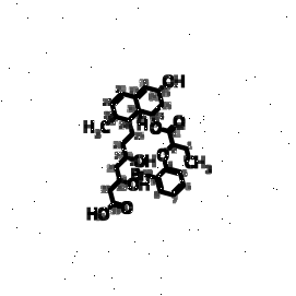 CCC(Oc1ccccc1Br)C(=O)O[C@H]1C[C@H](O)C=C2C=C[C@H](C)[C@H](CC[C@@H](O)C[C@@H](O)CC(=O)O)[C@H]21